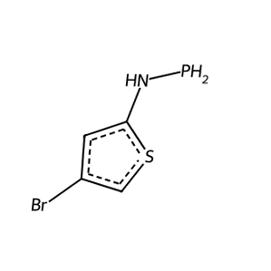 PNc1cc(Br)cs1